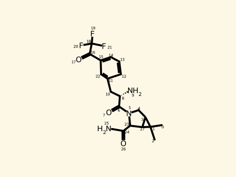 CC1(C)C2CN(C(=O)[C@@H](N)Cc3cccc(C(=O)C(F)(F)F)c3)C(C(N)=O)C21